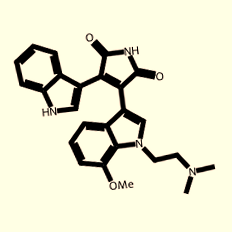 COc1cccc2c(C3=C(c4c[nH]c5ccccc45)C(=O)NC3=O)cn(CCN(C)C)c12